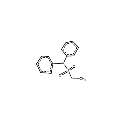 CCS(=O)(=O)N(c1ccccc1)c1ccccc1